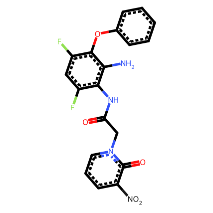 Nc1c(NC(=O)Cn2cccc([N+](=O)[O-])c2=O)c(F)cc(F)c1Oc1ccccc1